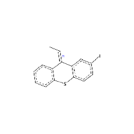 C/C=C1\c2ccccc2Sc2ccc(I)cc21